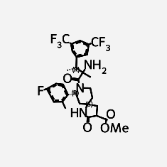 COC(=O)C1C[C@@]2(CCN(C(=O)C(C)(N)[C@H](C)c3cc(C(F)(F)F)cc(C(F)(F)F)c3)[C@@H](c3ccc(F)cc3C)C2)NC1=O